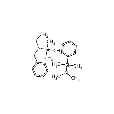 CCN(Cc1ccccc1)[Si](C)(C)C.CN(C)[Si](C)(C)c1ccccc1